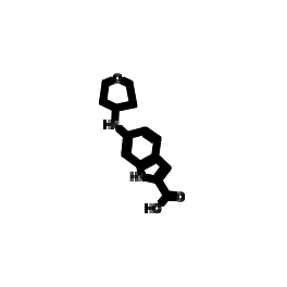 O=C(O)c1cc2ccc(NC3CCOCC3)cc2[nH]1